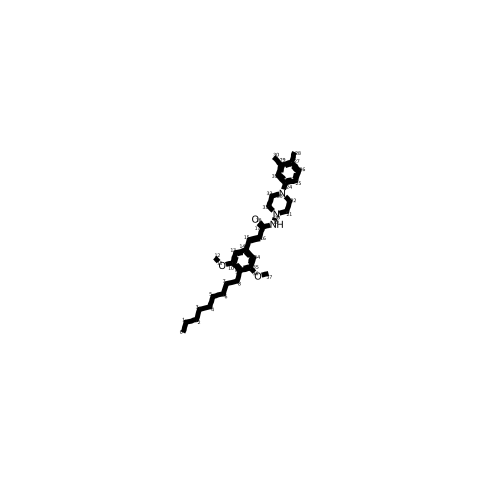 CCCCCCCCCc1c(OC)cc(C=CC(=O)NN2CCN(c3ccc(C)c(C)c3)CC2)cc1OC